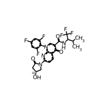 CC(C)C(NC(=O)c1cn(-c2c(F)cc(F)cc2F)c2nc(N3C[C@@H](O)CC3=O)ccc2c1=O)C(F)(F)F